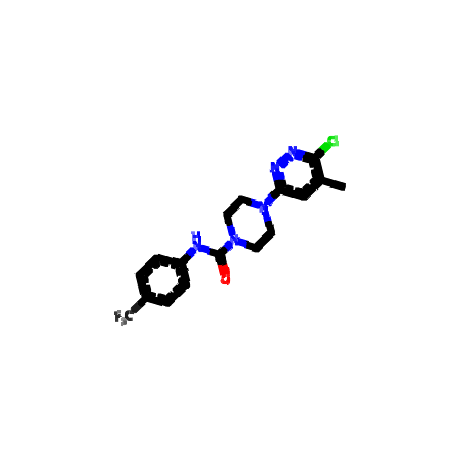 Cc1cc(N2CCN(C(=O)Nc3ccc(C(F)(F)F)cc3)CC2)nnc1Cl